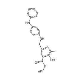 CCCOC(=O)c1cc(CNc2ccc(Nc3ccccc3)cc2)cc(C)c1O